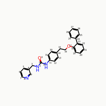 O=C(NCc1cccnc1)Nc1ccc(CCOc2ccccc2-c2ccccc2)cc1